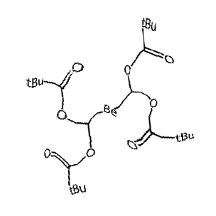 CC(C)(C)C(=O)O[CH]([Be][CH](OC(=O)C(C)(C)C)OC(=O)C(C)(C)C)OC(=O)C(C)(C)C